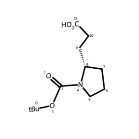 CC(C)(C)OC(=O)N1CCC[C@H]1CCC(=O)O